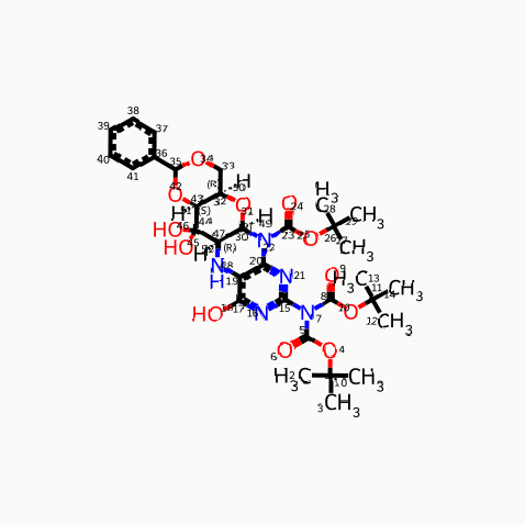 CC(C)(C)OC(=O)N(C(=O)OC(C)(C)C)c1nc(O)c2c(n1)N(C(=O)OC(C)(C)C)[C@@H]1O[C@@H]3COC(c4ccccc4)O[C@@H]3C(O)(O)[C@@H]1N2